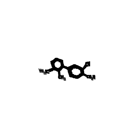 Cc1cccc(-c2ccc(C(=O)O)c(C#N)c2)c1C